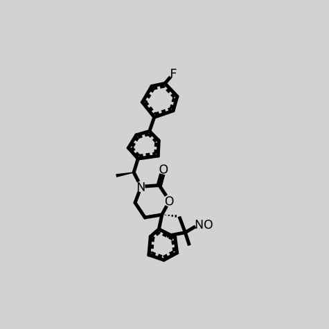 C[C@@H](c1ccc(-c2ccc(F)cc2)cc1)N1CC[C@](CC(C)(C)N=O)(c2ccccc2)OC1=O